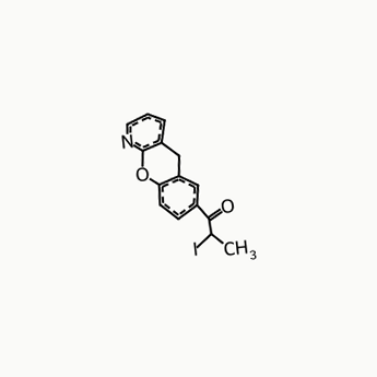 CC(I)C(=O)c1ccc2c(c1)Cc1cccnc1O2